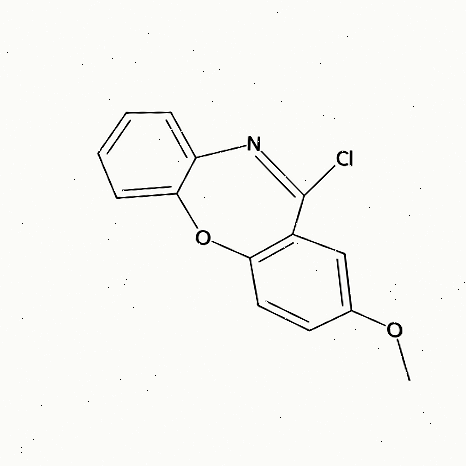 COc1ccc2c(c1)C(Cl)=Nc1ccccc1O2